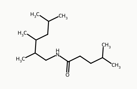 CC(C)CCC(=O)NCC(C)C(C)CC(C)C